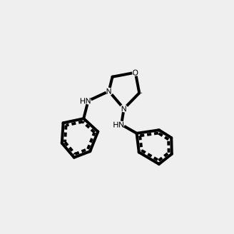 [CH]1OCN(Nc2ccccc2)N1Nc1ccccc1